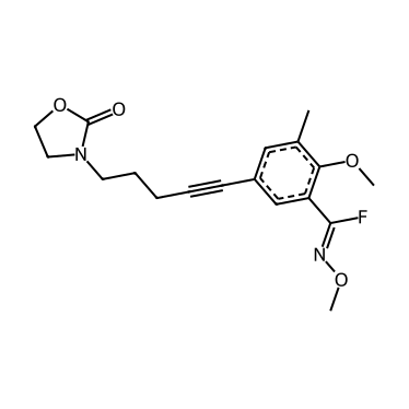 CON=C(F)c1cc(C#CCCCN2CCOC2=O)cc(C)c1OC